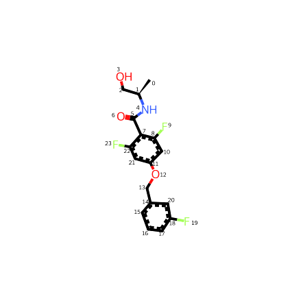 C[C@H](CO)NC(=O)c1c(F)cc(OCc2cccc(F)c2)cc1F